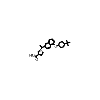 CC(c1ccc2c(OC3CCC(C(C)(C)C)CC3)cccc2c1)N1CCC(C(=O)O)C1